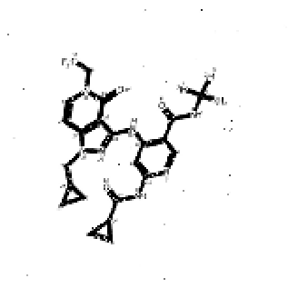 [2H]C([2H])([2H])NC(=O)c1cnc(NC(=O)C2CC2)cc1Nc1nn(CC2CC2)c2ccn(CC(F)(F)F)c(=O)c12